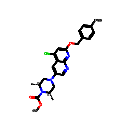 COc1ccc(COc2cc(Cl)c3cc(N4C[C@@H](C)N(C(=O)OC(C)(C)C)[C@@H](C)C4)cnc3n2)cc1